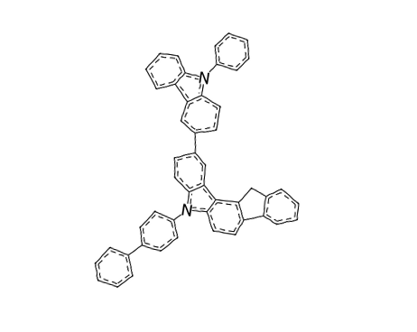 c1ccc(-c2ccc(-n3c4ccc(-c5ccc6c(c5)c5ccccc5n6-c5ccccc5)cc4c4c5c(ccc43)-c3ccccc3C5)cc2)cc1